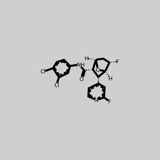 O=C(Nc1ccc(Cl)c(Cl)c1)[C@H]1[C@@H](c2ccnc(F)c2)[C@H]2O[C@@H]1C[C@@H]2F